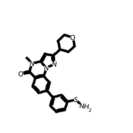 Cn1c(=O)c2ccc(-c3cccc(SN)c3)cc2n2nc(C3CCOCC3)cc12